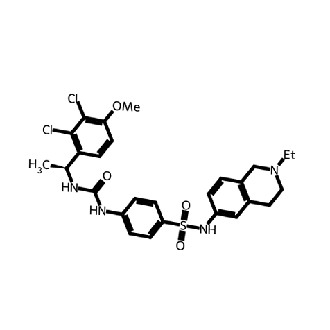 CCN1CCc2cc(NS(=O)(=O)c3ccc(NC(=O)N[C@@H](C)c4ccc(OC)c(Cl)c4Cl)cc3)ccc2C1